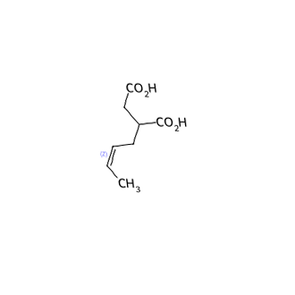 C/C=C\CC(CC(=O)O)C(=O)O